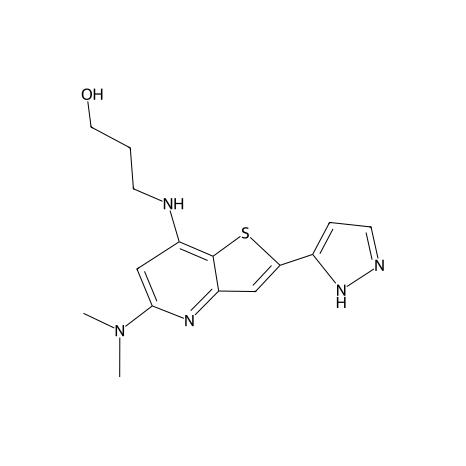 CN(C)c1cc(NCCCO)c2sc(-c3ccn[nH]3)cc2n1